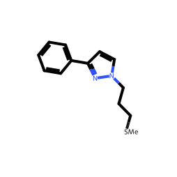 CSCCCn1ccc(-c2ccccc2)n1